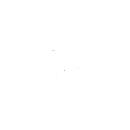 CC1CCC(C2(CN)CCCCC2)CC1